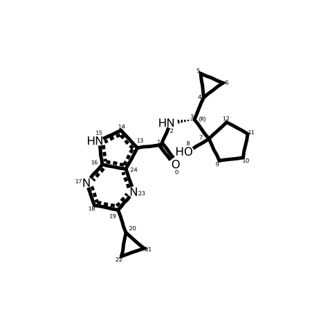 O=C(N[C@H](C1CC1)C1(O)CCCC1)c1c[nH]c2ncc(C3CC3)nc12